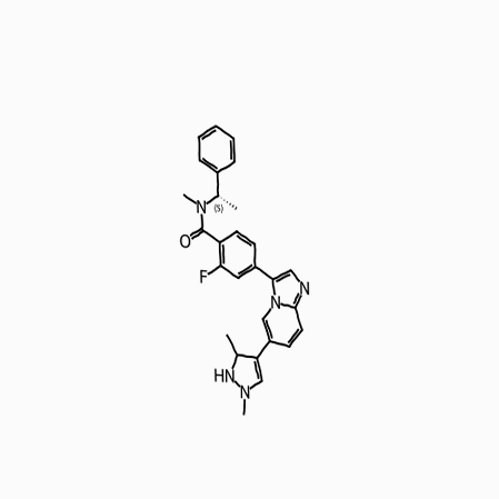 CC1NN(C)C=C1c1ccc2ncc(-c3ccc(C(=O)N(C)[C@@H](C)c4ccccc4)c(F)c3)n2c1